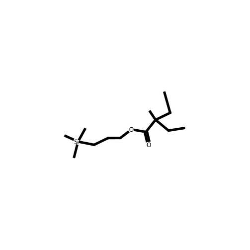 CCC(C)(CC)C(=O)OCCC[Si](C)(C)C